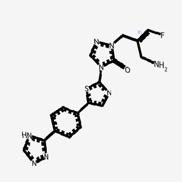 NC/C(=C\F)Cn1ncn(-c2ncc(-c3ccc(-c4nnc[nH]4)cc3)s2)c1=O